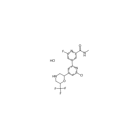 CNC(=O)c1cc(-c2cc(C3CNCC(C(F)(F)F)O3)cc(Cl)n2)cc(F)n1.Cl